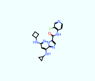 O=C(Nc1ccncc1F)c1cnc2c(NC3CC3)cc(NC3CCC3)nn12